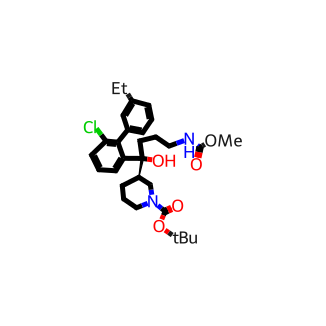 CCc1cccc(-c2c(Cl)cccc2C(O)(CCCNC(=O)OC)[C@@H]2CCCN(C(=O)OC(C)(C)C)C2)c1